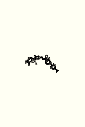 CC(COCCC(=O)N1CCN(c2ncc(C3CC3)cn2)C[C@@H]1C)Nc1cn[nH]c(=O)c1C(F)(F)F